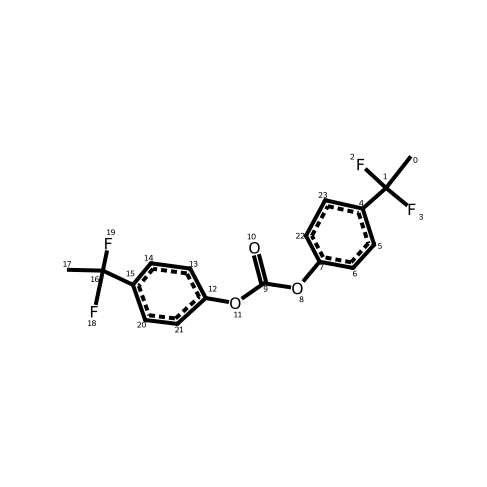 CC(F)(F)c1ccc(OC(=O)Oc2ccc(C(C)(F)F)cc2)cc1